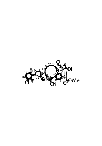 COC(=O)Nc1ccc2c(c1)N[C@@H](C(=O)N1CC(O)C1)CCCC[C@H](N1CCC(c3c(F)ccc(Cl)c3F)OC1=O)c1nc-2c(C#N)[nH]1